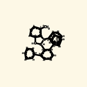 Cc1cccc2c1N(c1ccccc1)B(c1c(-c3ccccc3)cccc1-c1ccccc1)O2